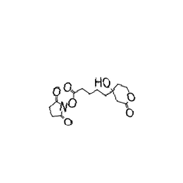 O=C1CC(O)(CCCCC(=O)ON2C(=O)CCC2=O)CCO1